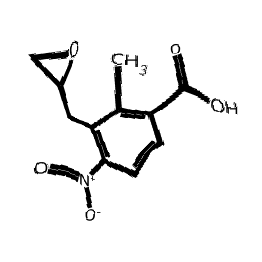 Cc1c(C(=O)O)ccc([N+](=O)[O-])c1CC1CO1